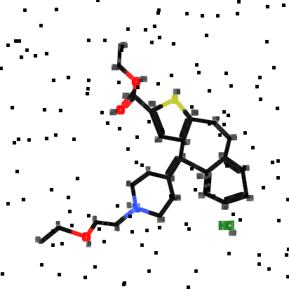 CCOCCN1CCC(=C2c3ccccc3CCc3sc(C(=O)OCC)cc32)CC1.Cl